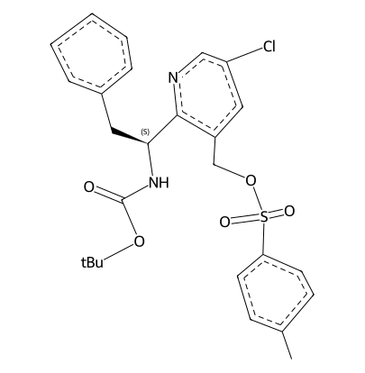 Cc1ccc(S(=O)(=O)OCc2cc(Cl)cnc2[C@H](Cc2ccccc2)NC(=O)OC(C)(C)C)cc1